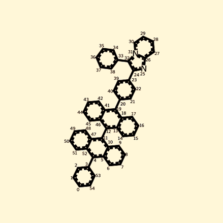 c1ccc(-c2c3ccccc3c(-c3c4ccccc4c(-c4ccc(-c5nc6ccccn6c5-c5ccccc5)cc4)c4ccccc34)c3ccccc23)cc1